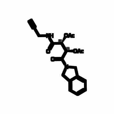 C#CCNC(=O)[C@H](OC(C)=O)[C@@H](OC(C)=O)C(=O)N1Cc2ccccc2C1